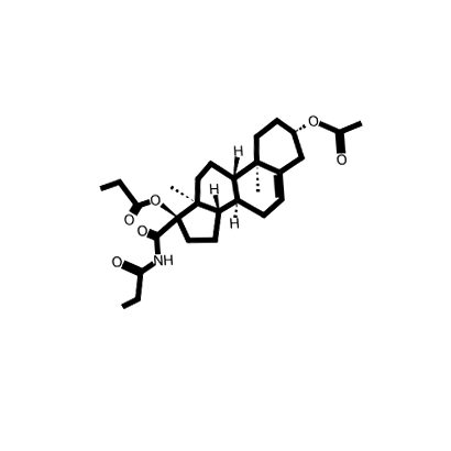 CCC(=O)NC(=O)[C@@]1(OC(=O)CC)CC[C@H]2[C@@H]3CC=C4C[C@@H](OC(C)=O)CC[C@]4(C)[C@H]3CC[C@@]21C